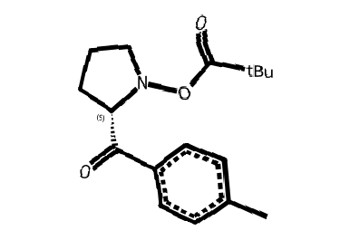 Cc1ccc(C(=O)[C@@H]2CCCN2OC(=O)C(C)(C)C)cc1